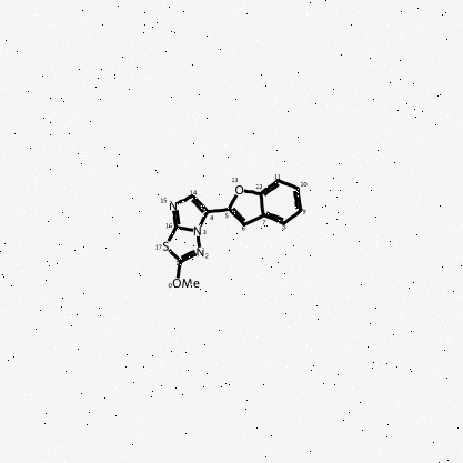 COc1nn2c(-c3cc4ccccc4o3)cnc2s1